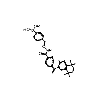 C=C(c1ccc(C(=O)NOCc2ccc(B(O)O)cc2)cc1)c1cc2c(cc1C)C(C)(C)CCC2(C)C